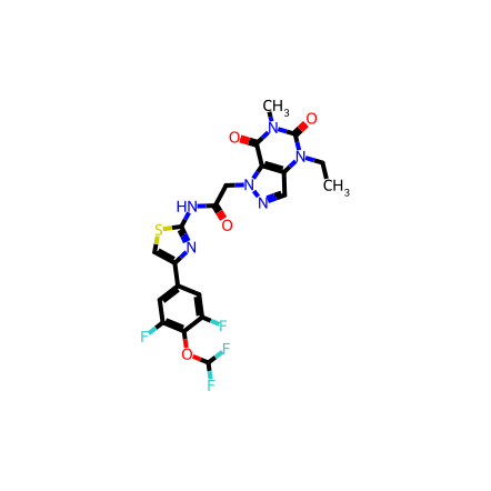 CCn1c(=O)n(C)c(=O)c2c1cnn2CC(=O)Nc1nc(-c2cc(F)c(OC(F)F)c(F)c2)cs1